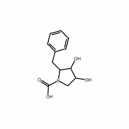 O=C(O)N1CC(O)C(O)C1Cc1ccccc1